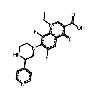 CCn1cc(C(=O)O)c(=O)c2cc(F)c(N3CCNC(c4ccncc4)C3)c(F)c21